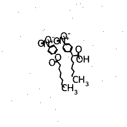 CCCCCCC(C(=O)O)c1ccc([N+](=O)[O-])cc1.CCCCCCCC(=O)Oc1ccc([N+](=O)[O-])cc1